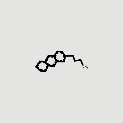 CCCCc1ccc2cc3c[c]ccc3cc2c1